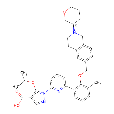 Cc1cccc(-c2cccc(-n3ncc(C(=O)O)c3OC(C)C)n2)c1OCc1ccc2c(c1)CCN([C@@H]1CCCOC1)C2